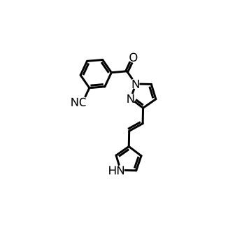 N#Cc1cccc(C(=O)n2ccc(C=Cc3cc[nH]c3)n2)c1